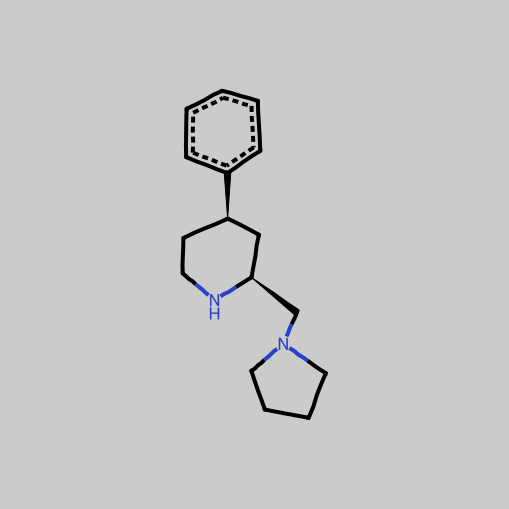 c1ccc([C@@H]2CCN[C@H](CN3CCCC3)C2)cc1